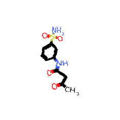 CC(=O)CC(=O)Nc1cccc(S(N)(=O)=O)c1